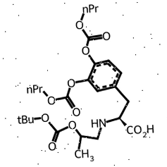 CCCOC(=O)Oc1ccc(C[C@H](NCC(C)OC(=O)OC(C)(C)C)C(=O)O)cc1OC(=O)OCCC